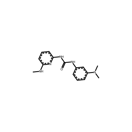 CNc1cccc(NC(=O)Nc2cccc(N(C)C)c2)n1